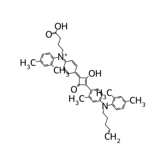 C=CCCCN(c1ccc(C2=C(O)C(=C3C=CC(=[N+](CCCC(=O)O)c4ccc(C)cc4C)C=C3)C2=O)c(C)c1)c1ccc(C)cc1C